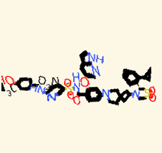 CC1(O)CCC(CNc2ncc(S(=O)(=O)NC(=O)c3ccc(N4CCC5(CC4)CC(N4CCS(=O)(=O)C[C@H]4c4ccccc4C4CC4)C5)cc3Oc3cnc4[nH]ccc4c3)cc2[N+](=O)[O-])CC1